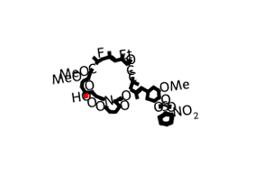 CCC1/C=C(\C)C(F)C(C)CC(OC)C2OC(O)(C(=O)C(=O)N3CCCCC3C(=O)OC(C(C)=CC3CCC(OS(=O)(=O)c4ccccc4[N+](=O)[O-])C(OC)C3)C(C)CCC1=O)C(C)CC2OC